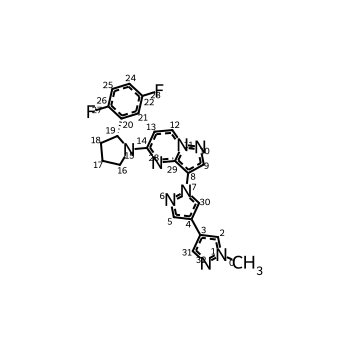 Cn1cc(-c2cnn(-c3cnn4ccc(N5CCC[C@@H]5c5cc(F)ccc5F)nc34)c2)cn1